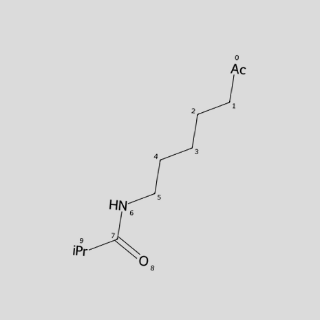 CC(=O)CCCCCNC(=O)C(C)C